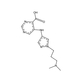 CN(C)CCCn1cc(Nc2cncnc2C(=O)O)cn1